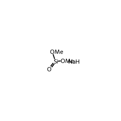 CO[Si](=O)OC.[NaH]